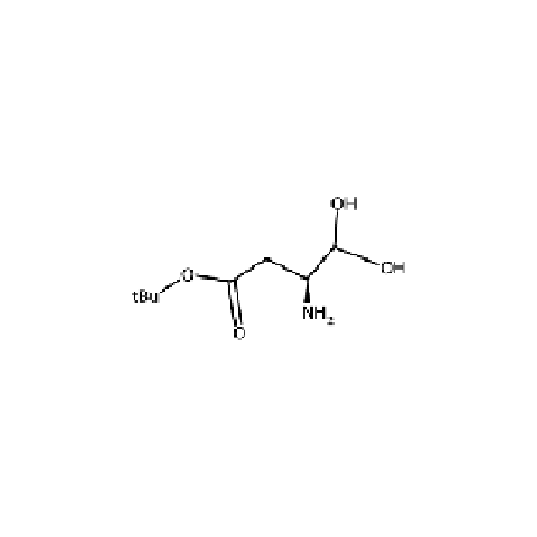 CC(C)(C)OC(=O)C[C@H](N)C(O)O